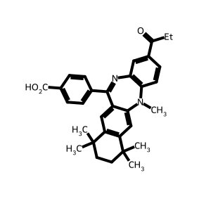 CCC(=O)c1ccc2c(c1)N=C(c1ccc(C(=O)O)cc1)c1cc3c(cc1N2C)C(C)(C)CCC3(C)C